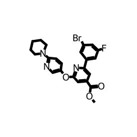 COC(=O)c1cc(Oc2ccc(N3CCCCC3)nc2)nc(-c2cc(F)cc(Br)c2)c1